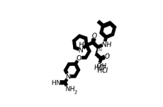 CC1=CCCC(N[C@@H](CC(=O)O)C(=O)C2(CCOC3CCN(C(=N)N)CC3)CCCCN2)C1.Cl.Cl